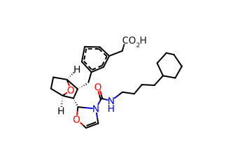 O=C(O)Cc1cccc(C[C@@H]2[C@H](C3OC=CN3C(=O)NCCCCC3CCCCC3)[C@H]3CC[C@@H]2O3)c1